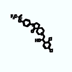 C[C@H](Oc1ccc(N2CCC3(CCN(CC(O)c4ccc(Cl)cc4Cl)CC3)C2=O)cc1)C(F)(F)F